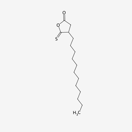 CCCCCCCCCCCCC1CC(=O)OC1=S